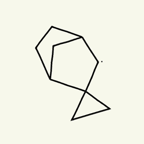 [CH]1C2CCC(C2)C12CC2